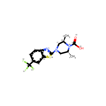 C[C@@H]1CN(c2nc3ccc(C(F)(F)F)cc3s2)C[C@@H](C)N1C(=O)O